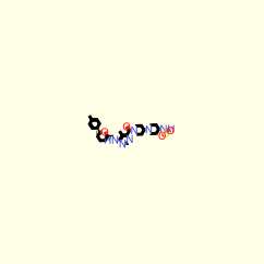 CC1=CCC([C@@H]2CCC[C@H](CNc3ncnc(C(=O)N4CCC(N5CCC(NS(C)(=O)=O)CC5)CC4)c3C)O2)C=C1